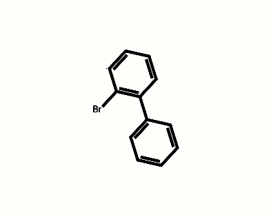 Brc1[c]cccc1-c1ccccc1